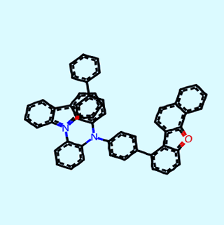 c1ccc(-c2ccc(N(c3ccc(-c4cccc5oc6c7ccccc7ccc6c45)cc3)c3ccccc3-n3c4ccccc4c4ccccc43)cc2)cc1